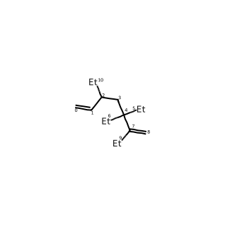 C=CC([CH]C(CC)(CC)C(=C)CC)CC